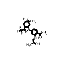 C[C@H](O)CNc1cc(-n2nc(C(F)(F)F)c3c2CC(C)(C)CC3)ccc1C(N)=O